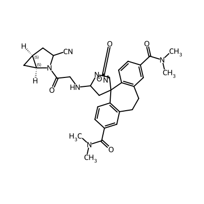 CN(C)C(=O)c1ccc2c(c1)CCc1cc(C(=O)N(C)C)ccc1C21CC(NCC(=O)N2C(C#N)C[C@@H]3C[C@@H]32)n2oc(=O)nc21